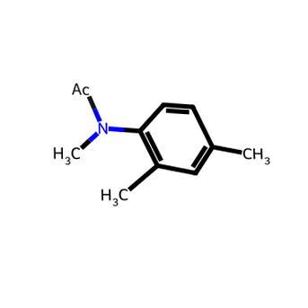 CC(=O)N(C)c1ccc(C)cc1C